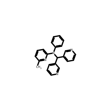 Cc1cccc(N(c2ccccc2)C(c2cccnc2)c2cccnc2)n1